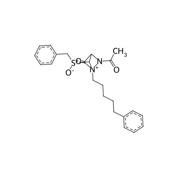 CC(=O)N1C2C(=O)[N+]1(CCCCCc1ccccc1)C2[S+]([O-])Cc1ccccc1